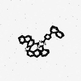 c1ccc(-c2nc(-c3ccc(-c4cccc5ccccc45)cc3)nc(-c3cc4ccc5ccccc5c4c4sc5ccc6ccccc6c5c34)n2)cc1